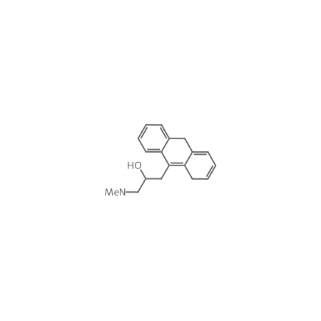 CNCC(O)CC1=C2CC=CC=C2Cc2ccccc21